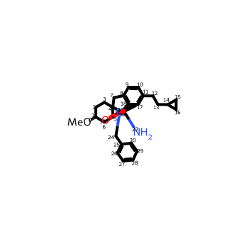 COC1CCC2(CC1)Cc1ccc(CCC3CC3)cc1C21N=C(N)N(Cc2ccccc2)C1=O